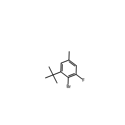 Cc1cc(F)c(Br)c(C(C)(C)C)c1